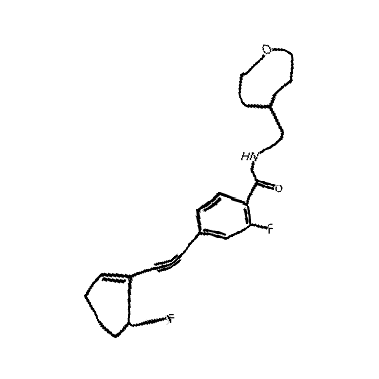 O=C(NCC1CCOCC1)c1ccc(C#CC2=CCCCC2F)cc1F